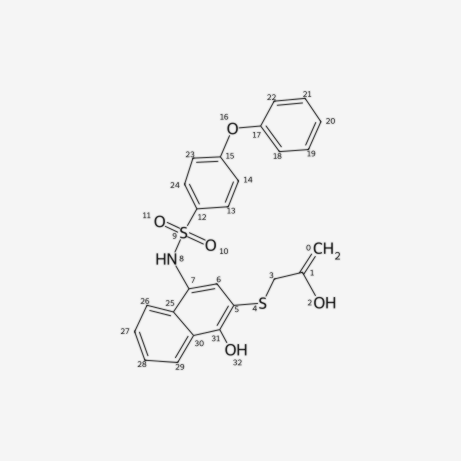 C=C(O)CSc1cc(NS(=O)(=O)c2ccc(Oc3ccccc3)cc2)c2ccccc2c1O